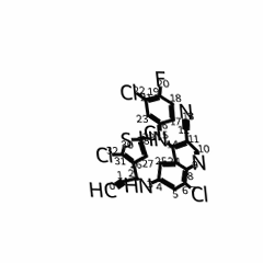 C#CC(Nc1cc(Cl)c2ncc(C#N)c(Nc3ccc(F)c(Cl)c3)c2c1)c1cc(Cl)sc1Cl